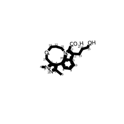 Cc1nn(C)c2c1-c1cccc3c(CCCO)c(C(=O)O)n(c13)CCCOC2